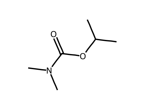 CC(C)OC(=O)N(C)C